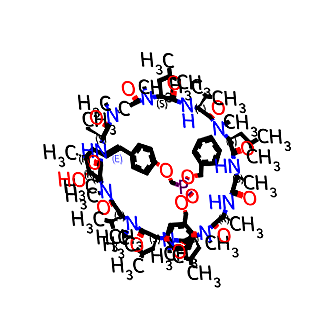 CC[C@@H]1NC(=O)[C@@](C)([C@H](O)[C@H](C)C/C=C/c2ccc(OCP(=O)(OCc3ccccc3)OCc3ccccc3)cc2)N(C)C(=O)[C@H](C(C)C)N(C)C(=O)[C@H](CC(C)C)N(C)C(=O)[C@H](CC(C)C)N(C)C(=O)[C@@H](C)NC(=O)[C@H](C)NC(=O)[C@H](CC(C)C)N(C)C(=O)[C@H](C(C)C)NC(=O)[C@H](CC(C)C)N(C)C(=O)CN(C)C1=O